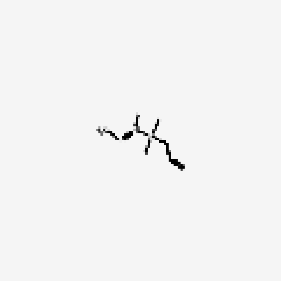 C=CC[Si](C)(C)[N+]([O-])=N[SiH3]